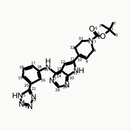 CC(C)(C)OC(=O)N1CC=C(c2cc3c(Nc4cccc(-c5nnn[nH]5)c4)ncnc3[nH]2)CC1